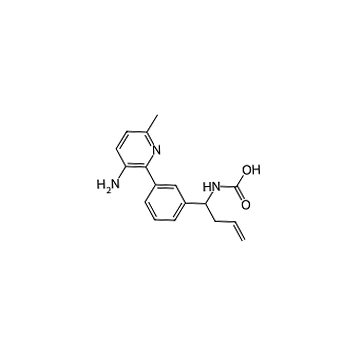 C=CCC(NC(=O)O)c1cccc(-c2nc(C)ccc2N)c1